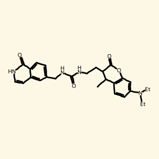 CCN(CC)c1ccc2c(c1)OC(=O)C(CCNC(=O)NCc1ccc3c(=O)[nH]ccc3c1)C2C